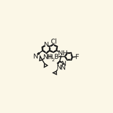 BC(Nc1cc(Cl)c2ncc(C#N)c(NC3(C4CC4)CC3)c2c1)(c1ccc(F)cc1)c1cn(C2CC2)nn1